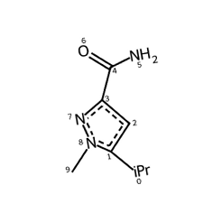 CC(C)c1cc(C(N)=O)nn1C